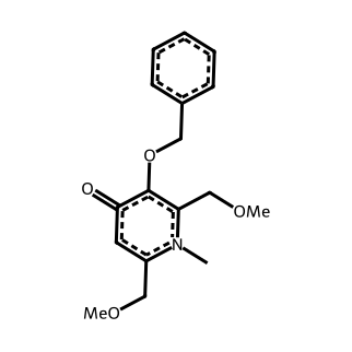 COCc1cc(=O)c(OCc2ccccc2)c(COC)n1C